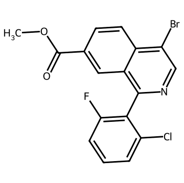 COC(=O)c1ccc2c(Br)cnc(-c3c(F)cccc3Cl)c2c1